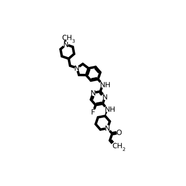 C=CC(=O)N1CCC[C@@H](Nc2nc(Nc3ccc4c(c3)CN(CC3CCN(C)CC3)C4)ncc2F)C1